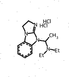 CCN(CC)C(C)N1C2=NCCN2c2ccccc21.Cl.Cl